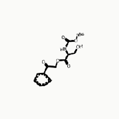 CCCCOC(=O)NC(CO)C(=O)OCC(=O)c1ccccc1